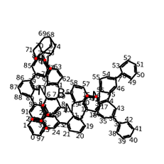 c1ccc(-c2cc3c4c(c2)N(c2c(-c5ccccc5)cccc2-c2ccccc2)c2cc(-n5c6ccc(-c7ccccc7)cc6c6cc(-c7ccccc7)ccc65)ccc2B4c2ccc(N4C5CC6CC(C5)CC4C6)cc2N3c2c(-c3ccccc3)cccc2-c2ccccc2)cc1